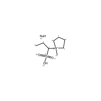 CCC([N+]1(C)CCCC1)S(=O)(=O)O.[NaH]